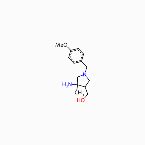 COc1ccc(CN2CC(CO)C(C)(N)C2)cc1